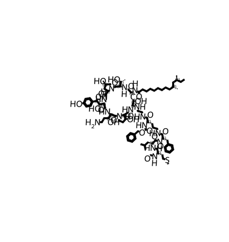 CC[C@H](C)C[C@H](C)CCCCCCCCC(=O)N[C@H]1C[C@@H](O)[C@@H](NCCNC(=O)[C@H](CCCNC(=O)[C@H](Cc2ccccc2)NC(=O)[C@H](CC(C)C)NC(=O)[C@H](CCSC)NC=O)NC(=O)OCc2ccccc2)NC(=O)[C@@H]2[C@@H](O)CCN2C(=O)[C@H]([C@H](O)CCN)NC(=O)[C@H]([C@H](O)[C@@H](O)c2ccc(O)cc2)NC(=O)[C@@H]2C[C@@H](O)CN2C(=O)[C@H]([C@@H](C)O)NC1=O